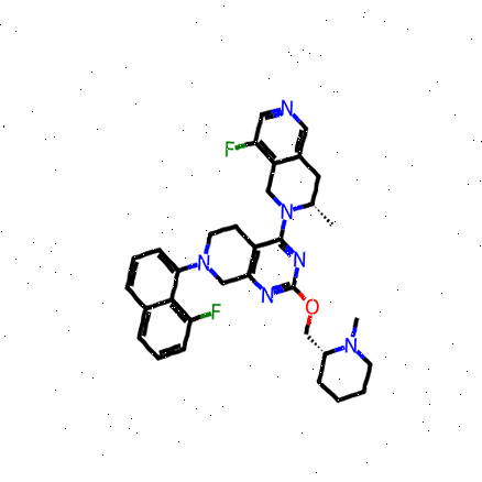 C[C@H]1Cc2cncc(F)c2CN1c1nc(OC[C@H]2CCCCN2C)nc2c1CCN(c1cccc3cccc(F)c13)C2